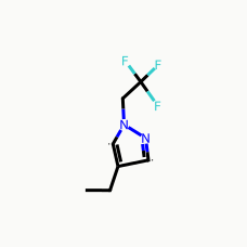 CCc1[c]nn(CC(F)(F)F)[c]1